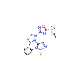 CC1(c2nc(N3C=NC4c5ccccc5-n5c(cnc5F)N43)no2)CC1